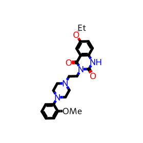 CCOc1ccc2[nH]c(=O)n(CCN3CCN(c4ccccc4OC)CC3)c(=O)c2c1